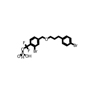 O=[PH](O)OC(F)(F)c1ccc(COCCCc2ccc(Br)cc2)cc1Br